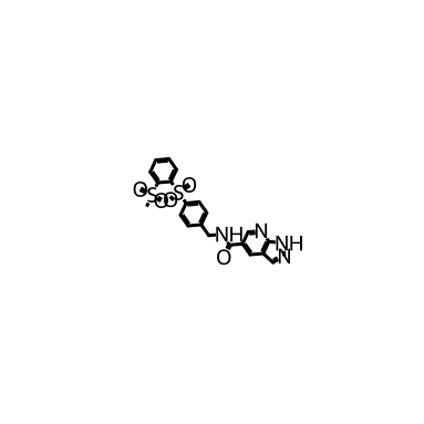 CS(=O)(=O)c1ccccc1S(=O)(=O)c1ccc(CNC(=O)c2cnc3[nH]ncc3c2)cc1